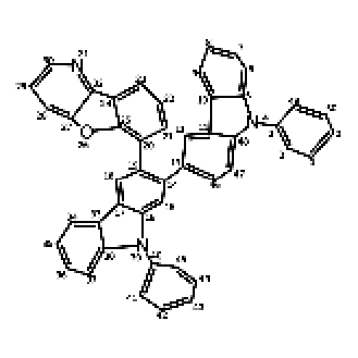 c1ccc(-n2c3ccccc3c3cc(-c4cc5c(cc4-c4cccc6c4oc4cccnc46)c4ccccc4n5-c4ccccc4)ccc32)cc1